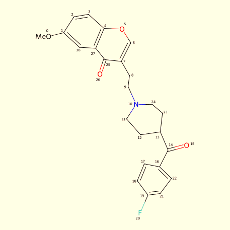 COc1ccc2occ(CCN3CCC(C(=O)c4ccc(F)cc4)CC3)c(=O)c2c1